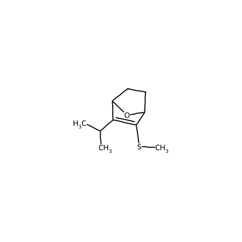 CSC1=C(C(C)C)C2CCC1O2